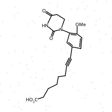 COc1ccc(C#CCCCCCC(=O)O)cc1N1CCC(=O)NC1=O